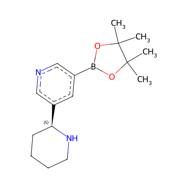 CC1(C)OB(c2cncc([C@@H]3CCCCN3)c2)OC1(C)C